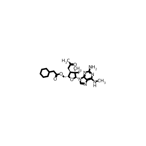 CNc1nc(N)nc2c1ncn2[C@@H]1O[C@H](COC(=O)CC2CCCCC2)[C@@H](CC(C)=O)[C@@]1(C)F